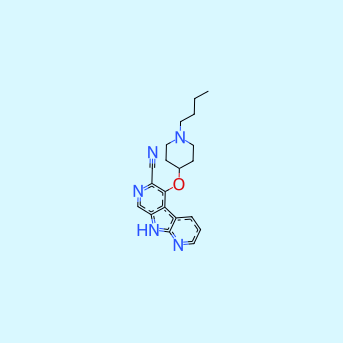 CCCCN1CCC(Oc2c(C#N)ncc3[nH]c4ncccc4c23)CC1